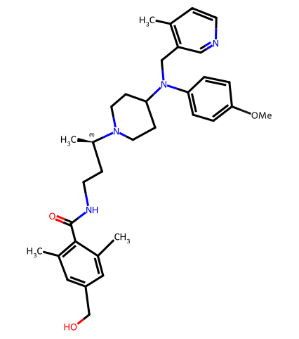 COc1ccc(N(Cc2cnccc2C)C2CCN([C@H](C)CCNC(=O)c3c(C)cc(CO)cc3C)CC2)cc1